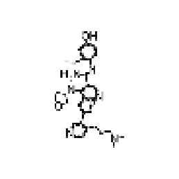 CCc1cc(O)ccc1/N=C(\N)c1cnn2cc(-c3cnccc3CCCN(C)C)cc2c1N[C@H]1CCOC1